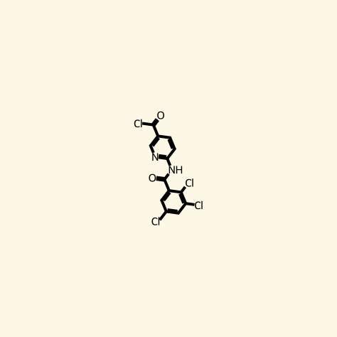 O=C(Cl)c1ccc(NC(=O)c2cc(Cl)cc(Cl)c2Cl)nc1